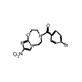 O=C(c1ccc(Br)cc1)N1CCOc2nc([N+](=O)[O-])cn2CC1